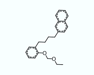 CCOCOc1ccccc1CCCCc1ccc2ccccc2c1